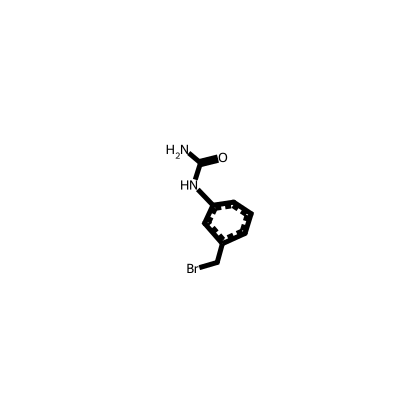 NC(=O)Nc1cccc(CBr)c1